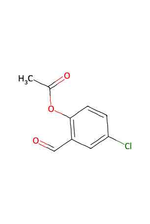 CC(=O)Oc1ccc(Cl)cc1C=O